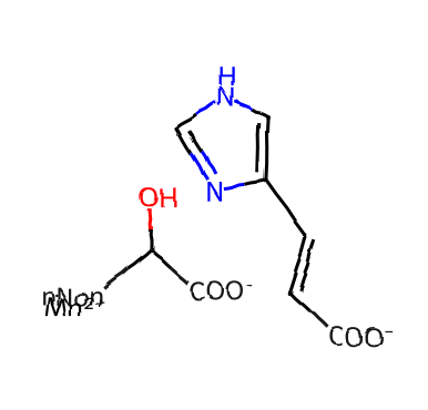 CCCCCCCCCC(O)C(=O)[O-].O=C([O-])C=Cc1c[nH]cn1.[Mn+2]